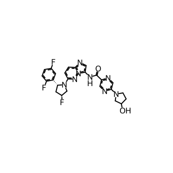 O=C(Nc1cnc2ccc(N3C[C@@H](F)C[C@@H]3c3cc(F)ccc3F)nn12)c1cnc(N2CCC(O)C2)cn1